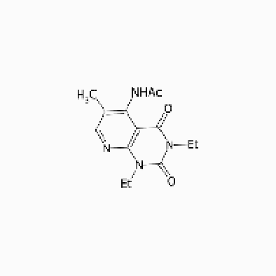 CCn1c(=O)c2c(NC(C)=O)c(C)cnc2n(CC)c1=O